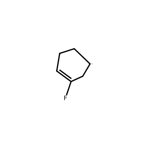 FC1=CCC[CH]C1